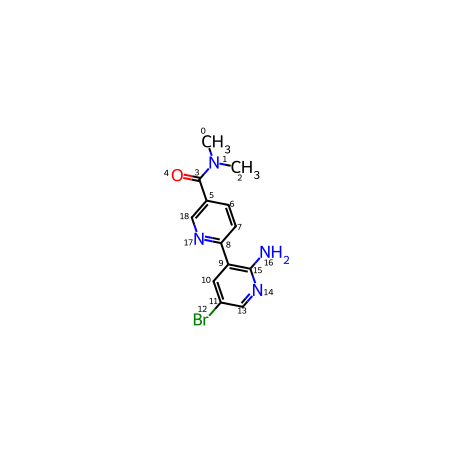 CN(C)C(=O)c1ccc(-c2cc(Br)cnc2N)nc1